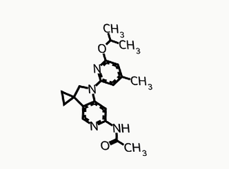 CC(=O)Nc1cc2c(cn1)C1(CC1)CN2c1cc(C)cc(OC(C)C)n1